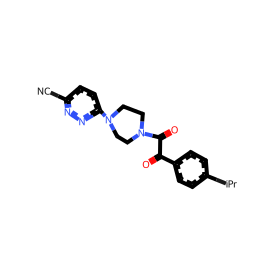 CC(C)c1ccc(C(=O)C(=O)N2CCN(c3ccc(C#N)nn3)CC2)cc1